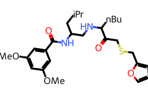 CCCCC(NCC(CC(C)C)NC(=O)c1cc(OC)cc(OC)c1)C(=O)CSCc1ccco1